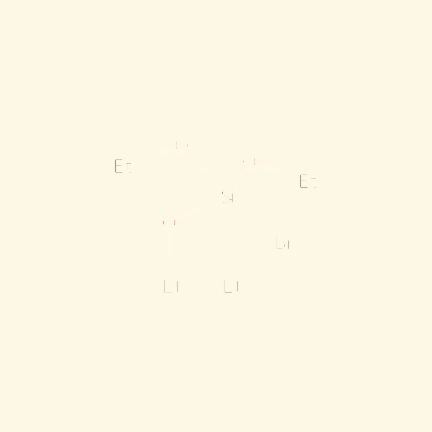 CCO[Si](OCC)(OCC)C(Br)CC